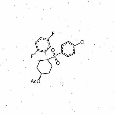 CC(=O)O[C@H]1CC[C@@](c2cc(F)ccc2F)(S(=O)(=O)c2ccc(Cl)cc2)CC1